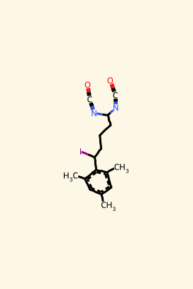 Cc1cc(C)c(C(I)CCCC(N=C=O)N=C=O)c(C)c1